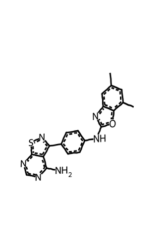 Cc1cc(C)c2oc(Nc3ccc(-c4nsc5ncnc(N)c45)cc3)nc2c1